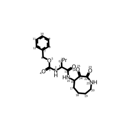 CC(C)C(NC(=O)OCc1ccccc1)C(=O)NC1CCCCNC(=O)C1=O